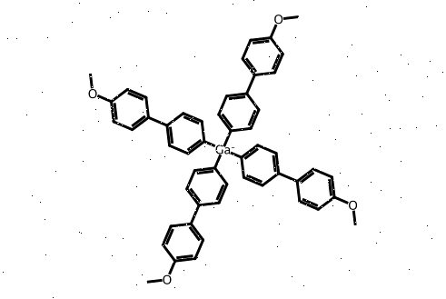 COc1ccc(-c2cc[c]([Ga-]([c]3ccc(-c4ccc(OC)cc4)cc3)([c]3ccc(-c4ccc(OC)cc4)cc3)[c]3ccc(-c4ccc(OC)cc4)cc3)cc2)cc1